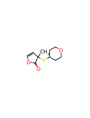 CC1(SC2CCOCC2)C=COC1=O